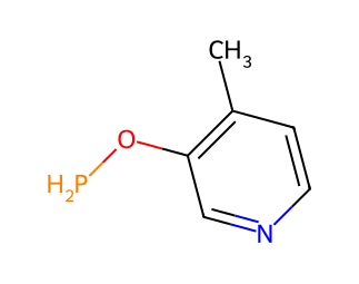 Cc1ccncc1OP